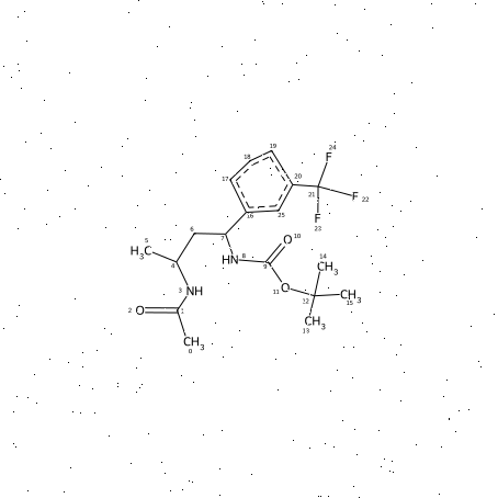 CC(=O)NC(C)CC(NC(=O)OC(C)(C)C)c1cccc(C(F)(F)F)c1